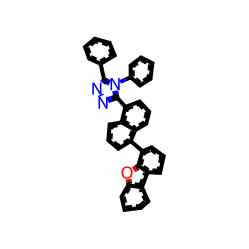 c1ccc(-c2nnc(-c3cccc4c(-c5cccc6c5oc5ccccc56)cccc34)n2-c2ccccc2)cc1